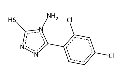 Nn1c(S)nnc1-c1ccc(Cl)cc1Cl